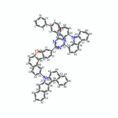 c1ccc(-c2cccc(-c3nc(-c4ccc5c(c4)oc4ccc6ccc(-n7c8cc9ccccc9cc8c8c9ccccc9ccc87)cc6c45)nc(-c4cccc5c6ccccc6n(-c6ccccc6)c45)n3)c2)cc1